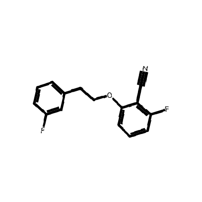 N#Cc1c(F)cccc1OCCc1cccc(F)c1